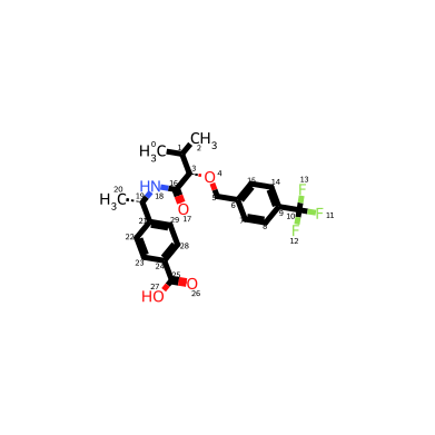 CC(C)[C@H](OCc1ccc(C(F)(F)F)cc1)C(=O)N[C@@H](C)c1ccc(C(=O)O)cc1